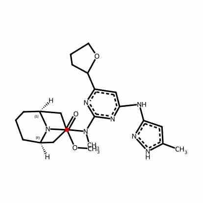 COC(=O)N1[C@@H]2CCC[C@H]1CC(N(C)c1nc(Nc3cc(C)[nH]n3)cc(C3CCCO3)n1)C2